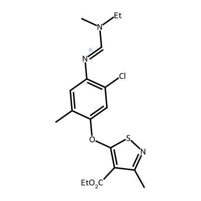 CCOC(=O)c1c(C)nsc1Oc1cc(Cl)c(/N=C/N(C)CC)cc1C